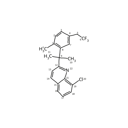 Cc1ccc(CC(F)(F)F)cc1C(C)(C)c1ccc2cccc(Cl)c2n1